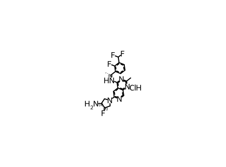 Cc1nc(N[C@H](C)c2cccc(C(F)F)c2F)c2cc(N3C[C@@H](F)[C@@H](N)C3)ncc2n1.Cl